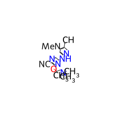 C#Cc1cnc(Nc2cnc(C#N)c(OC(C)CN(C)C)n2)cc1NC